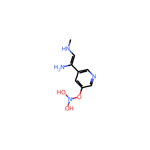 CN/C=C(\N)c1cncc(ON(O)O)c1